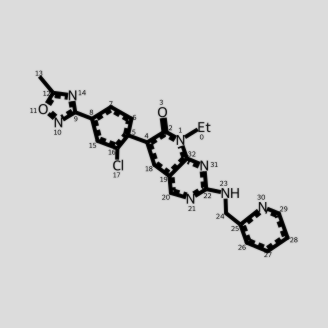 CCn1c(=O)c(-c2ccc(-c3noc(C)n3)cc2Cl)cc2cnc(NCc3ccccn3)nc21